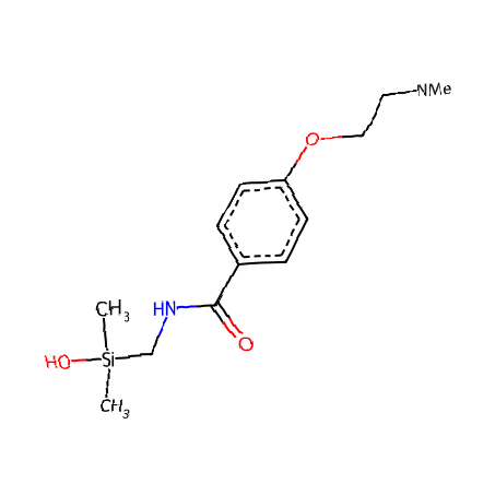 CNCCOc1ccc(C(=O)NC[Si](C)(C)O)cc1